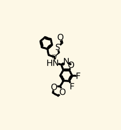 O=CSC[C@H](Cc1ccccc1)Nc1noc2c(F)c(F)c(C3OCCO3)cc12